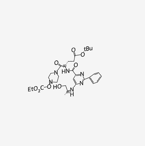 CCOC(=O)ON1CCN(C(=O)[C@H](CCC(=O)OC(C)(C)C)NC(=O)c2cc(N[C@H](C)CO)nc(-c3ccccc3)n2)CC1